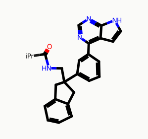 CC(C)C(=O)NCC1(c2cccc(-c3ncnc4[nH]ccc34)c2)Cc2ccccc2C1